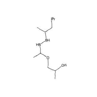 CC(C)CC(C)BBC(C)OCC(C)O